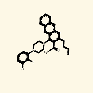 CCCCc1cc2cc3ccccc3cc2c(N2CCN(c3cccc(Cl)c3Cl)CC2)c1C(N)=O